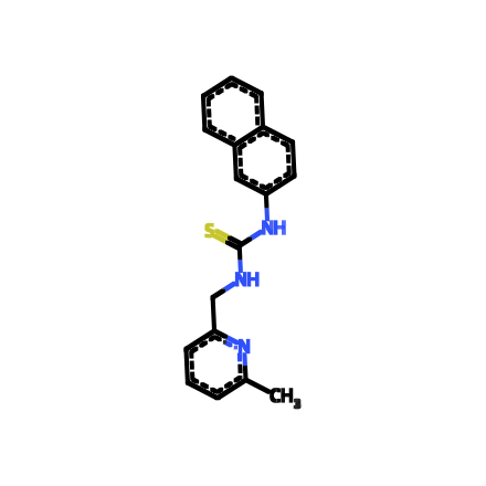 Cc1cccc(CNC(=S)Nc2ccc3ccccc3c2)n1